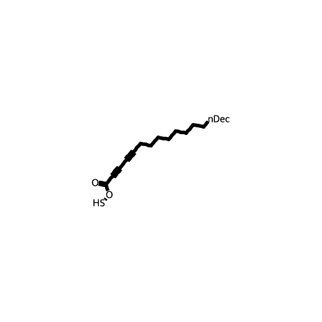 CCCCCCCCCCCCCCCCCCC#CC#CC(=O)OS